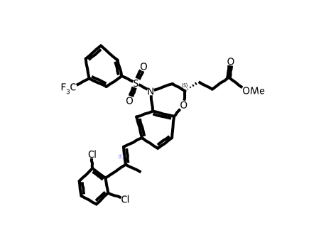 COC(=O)CC[C@H]1CN(S(=O)(=O)c2cccc(C(F)(F)F)c2)c2cc(/C=C(\C)c3c(Cl)cccc3Cl)ccc2O1